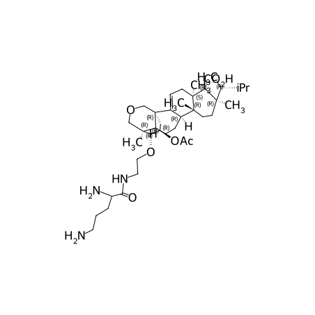 CC(=O)O[C@@H]1C[C@@]23COC[C@@](C)([C@@H]2CC[C@H]2C3=CC[C@@]3(C)[C@H](C(=O)O)[C@@](C)([C@H](C)C(C)C)CC[C@]23C)[C@H]1OCCNC(=O)C(N)CCCN